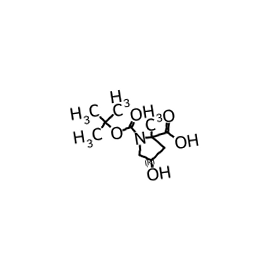 CC(C)(C)OC(=O)N1C[C@H](O)CC1(C)C(=O)O